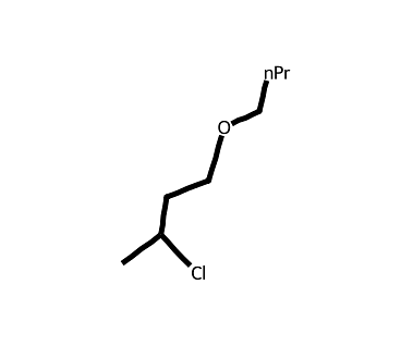 [CH2]CCCOCCC(C)Cl